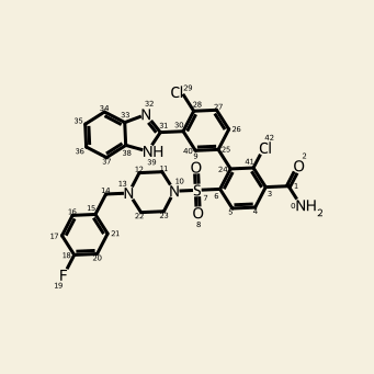 NC(=O)c1ccc(S(=O)(=O)N2CCN(Cc3ccc(F)cc3)CC2)c(-c2ccc(Cl)c(-c3nc4ccccc4[nH]3)c2)c1Cl